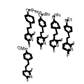 CCCCCOc1ccc(CCc2ccc(F)nc2F)cc1.CCCCOc1ccc(CCc2ccc(F)nc2F)cc1.CCCOc1ccc(CCc2ccc(F)nc2F)cc1.CCOc1ccc(CCc2ccc(F)nc2F)cc1.COc1ccc(CCc2ccc(F)nc2F)cc1